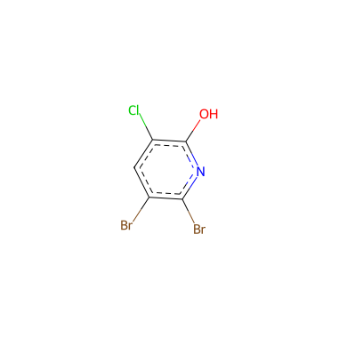 Oc1nc(Br)c(Br)cc1Cl